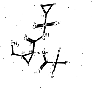 CC[C@@H]1C[C@]1(NC(=O)C(F)(F)F)C(=O)NS(=O)(=O)C1CC1